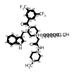 CN1CCN(NC(=O)CN2CCN(C(=O)c3cc(C(F)(F)F)cc(C(F)(F)F)c3)[C@H](Cc3c[nH]c4ccccc34)C2)CC1.Cl.Cl.O.O.O.O.O